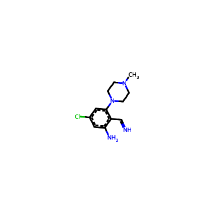 CN1CCN(c2cc(Cl)cc(N)c2C=N)CC1